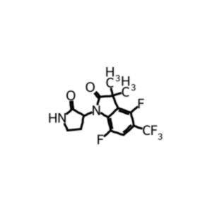 CC1(C)C(=O)N(C2CCNC2=O)c2c(F)cc(C(F)(F)F)c(F)c21